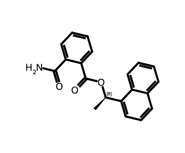 C[C@@H](OC(=O)c1ccccc1C(N)=O)c1cccc2ccccc12